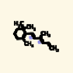 C=C/C=C(C)/C=C/C1=C(C)CCCC1(C)C